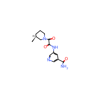 C[C@H]1CCCN(C(=O)C(=O)Nc2cncc(C(N)=O)c2)C1